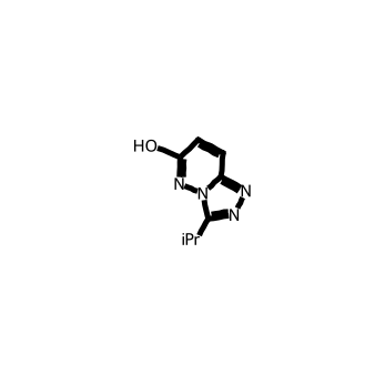 CC(C)c1nnc2ccc(O)nn12